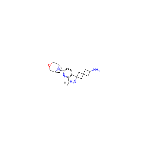 Cc1nc(N2C3CCC2COC3)ccc1C1(N)CC2(CC(N)C2)C1